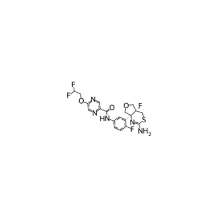 NC1=N[C@@]2(c3cc(NC(=O)c4cnc(OCC(F)F)cn4)ccc3F)COC[C@@]2(F)CS1